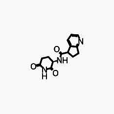 O=C1CC[C@@H](NC(=O)C2CCc3ncccc32)C(=O)N1